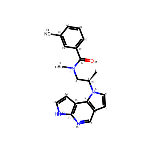 CCCCN(C[C@@H](C)n1ccc2cnc3[nH]ccc3c21)C(=O)c1cccc(C#N)c1